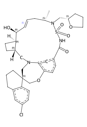 C[C@H]1C/C=C/[C@H](O)[C@@H]2CC[C@H]2CN2C[C@@]3(CCCc4cc(Cl)ccc43)COc3ccc(cc32)C(=O)NS(=O)(=O)N1C[C@@H]1CCCO1